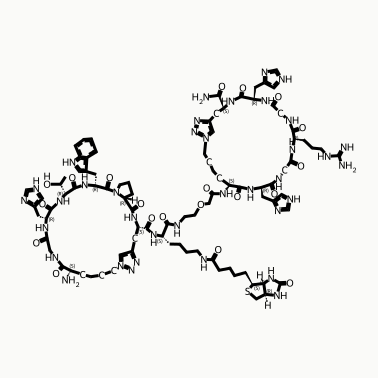 CC(O)[C@H]1NC(=O)[C@@H](Cc2c[nH]cn2)NC(=O)CNC(=O)[C@@H](N)CCCCn2cc(nn2)C[C@@H](C(=O)N[C@@H](CCCCNC(=O)CCCC[C@@H]2SC[C@@H]3NC(=O)N[C@@H]32)C(=O)NCCOCC(=O)N[C@H]2CCCCn3cc(nn3)C[C@@H](C(N)=O)NC(=O)[C@@H](Cc3c[nH]cn3)NC(=O)CNC(=O)[C@@H](CCCNC(=N)N)NC(=O)CNC(=O)[C@@H](Cc3c[nH]cn3)NC2=O)NC(=O)[C@H]2CCCN2C(=O)[C@@H](Cc2c[nH]c3ccccc23)NC1=O